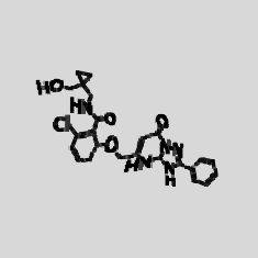 O=C(NCC1(CO)CC1)C1=C(Cl)C=CCC1OCC1=CC(=O)N2N=C(c3ccccc3)NC2N1